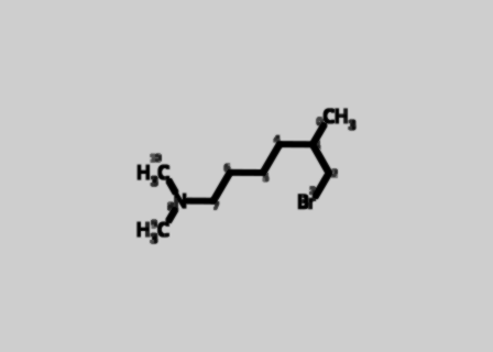 CC(CBr)CCCCN(C)C